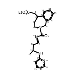 CCOC(=O)CC1CCN(C(=O)N=CCC(C)Nc2ccccn2)Cc2ccccc21